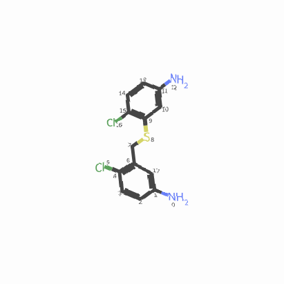 Nc1ccc(Cl)c(CSc2cc(N)ccc2Cl)c1